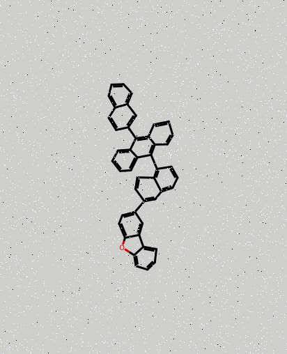 c1ccc2cc(-c3c4ccccc4c(-c4cccc5cc(-c6ccc7oc8ccccc8c7c6)ccc45)c4ccccc34)ccc2c1